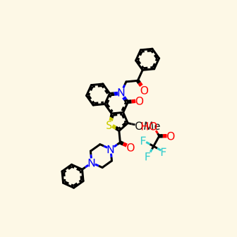 COc1c(C(=O)N2CCN(c3ccccc3)CC2)sc2c1c(=O)n(CC(=O)c1ccccc1)c1ccccc21.O=C(O)C(F)(F)F